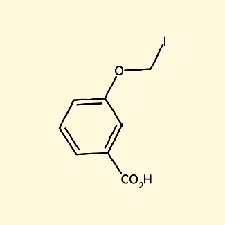 O=C(O)c1cccc(OCI)c1